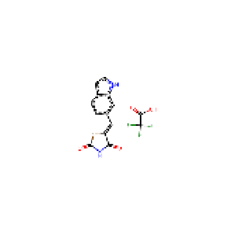 O=C(O)C(F)(F)F.O=C1NC(=O)C(=Cc2ccc3cc[nH]c3c2)S1